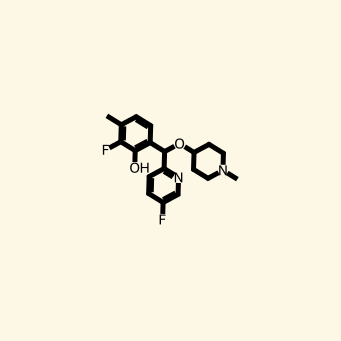 Cc1ccc(C(OC2CCN(C)CC2)c2ccc(F)cn2)c(O)c1F